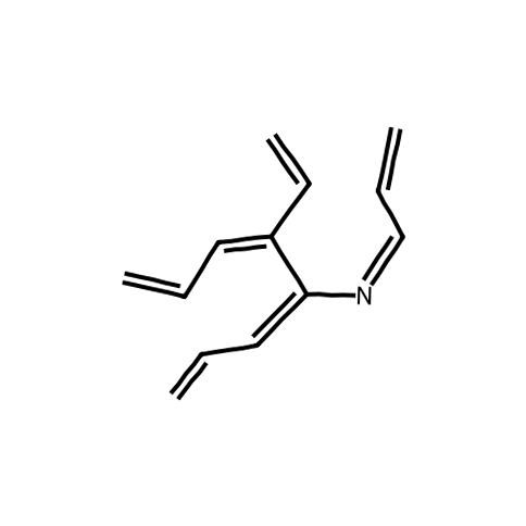 C=C\C=N/C(=C/C=C)C(/C=C)=C\C=C